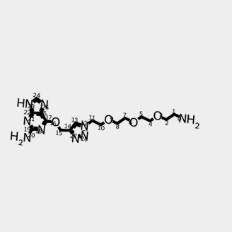 NCCOCCOCCOCCn1cc(COc2nc(N)nc3[nH]cnc23)nn1